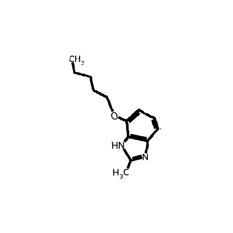 CCCCCOc1cc[c]c2nc(C)[nH]c12